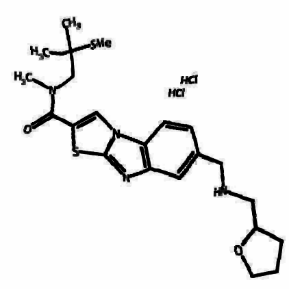 CSC(C)(C)CN(C)C(=O)c1cn2c(nc3cc(CNCC4CCCO4)ccc32)s1.Cl.Cl